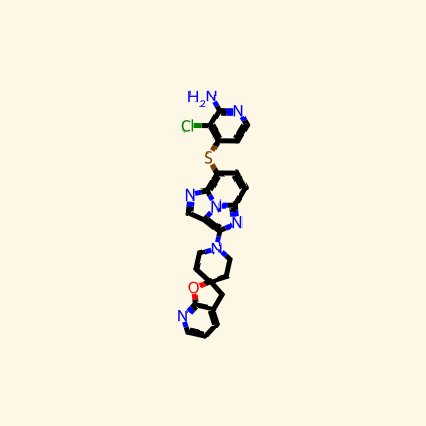 Nc1nccc(Sc2ccc3nc(N4CCC5(CC4)Cc4cccnc4O5)c4cnc2n34)c1Cl